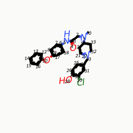 CN(CC(=O)Nc1ccc(Oc2ccccc2)cc1)C1CCN(Cc2ccc(O)c(Cl)c2)CC1